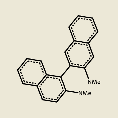 CNc1cc2ccccc2[c]c1-c1c(NC)ccc2ccccc12